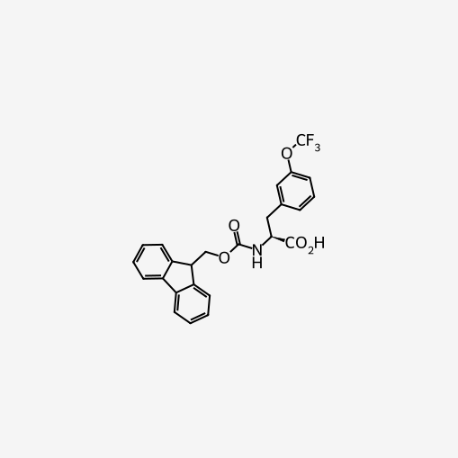 O=C(N[C@@H](Cc1cccc(OC(F)(F)F)c1)C(=O)O)OCC1c2ccccc2-c2ccccc21